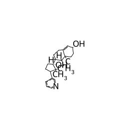 C[C@]12CCC(O)C=C1CC[C@@H]1[C@H]2CC[C@]2(C)C(c3cccnc3)CC[C@@]12O